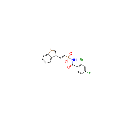 O=C(NS(=O)(=O)C=Cc1csc2ccccc12)c1ccc(F)cc1Br